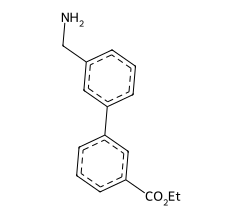 CCOC(=O)c1cccc(-c2cccc(CN)c2)c1